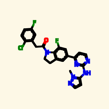 Cn1nccc1Nc1nccc(-c2cc(F)c3c(c2)CCN3C(=O)Cc2cc(F)ccc2Cl)n1